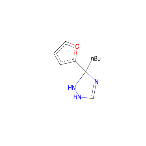 CCCCC1(c2ccco2)N=CNN1